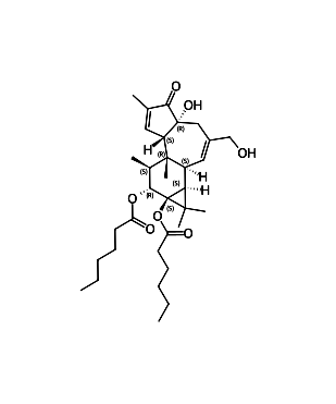 CCCCCC(=O)O[C@@H]1[C@@H](C)[C@@]2(C)[C@@H](C=C(CO)C[C@]3(O)C(=O)C(C)=C[C@@H]23)[C@H]2C(C)(C)[C@]12OC(=O)CCCCC